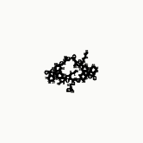 CCCCCC(CCC)(OCC(COc1ccc(C2(c3ccc(C(CCC)(CCCCC)OCC4CO4)cc3)OC(=O)c3ccccc32)cc1)OCC1CO1)c1ccc(C2(c3ccc(OCC4CO4)cc3)OC(=O)c3ccccc32)cc1